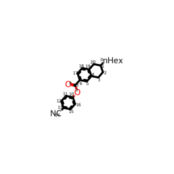 CCCCCCC1CCc2cc(C(=O)Oc3ccc(C#N)cc3)ccc2C1